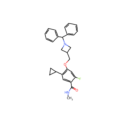 CNC(=O)c1cc(C2CC2)c(OCC2CN(C(c3ccccc3)c3ccccc3)C2)cc1F